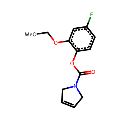 COCOc1cc(F)ccc1OC(=O)N1CC=CC1